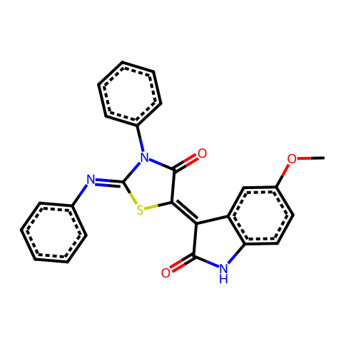 COc1ccc2c(c1)/C(=C1/S/C(=N\c3ccccc3)N(c3ccccc3)C1=O)C(=O)N2